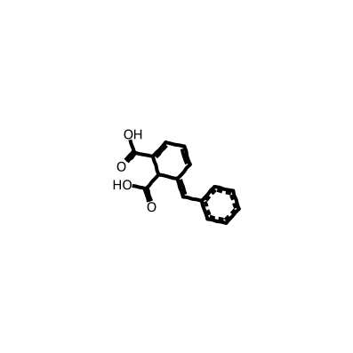 O=C(O)C1=CC=CC(=Cc2ccccc2)C1C(=O)O